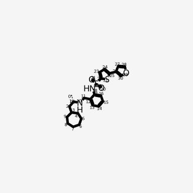 C[C@@H](CC1CCCCCC1)NCc1ccccc1NS(=O)(=O)c1ccc(-c2ccoc2)s1